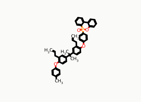 C=CCc1cc(C(C)(C)c2ccc(Oc3ccc(P4(=O)Oc5ccccc5-c5ccccc54)cc3)c(CC=C)c2)ccc1Oc1ccc(C)cc1